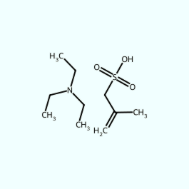 C=C(C)CS(=O)(=O)O.CCN(CC)CC